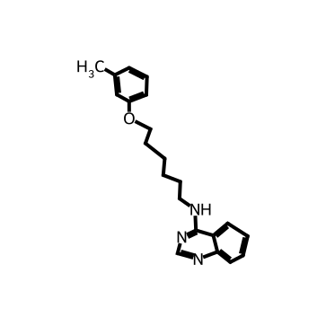 Cc1cccc(OCCCCCCNc2ncnc3ccccc23)c1